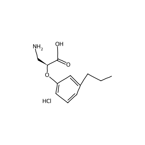 CCCc1cccc(O[C@@H](CN)C(=O)O)c1.Cl